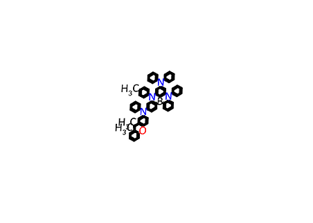 Cc1ccc(N2c3cc(N(c4ccccc4)c4ccc5c(c4)C(C)(C)c4ccccc4O5)ccc3B3c4ccccc4N(c4ccccc4)c4cc(N(c5ccccc5)c5ccccc5)cc2c43)cc1